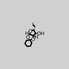 O[C@@H]1[C@H]2OC3(CCCCC3)O[C@H]2O[C@@H]1CI